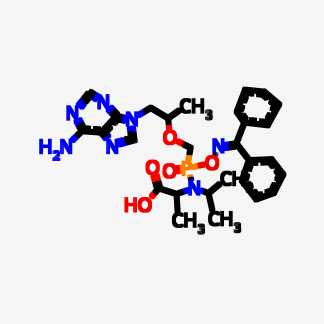 CC(Cn1cnc2c(N)ncnc21)OCP(=O)(ON=C(c1ccccc1)c1ccccc1)N(C(C)C)C(C)C(=O)O